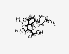 CCc1c(C(=O)O)oc2c(N3CCN(C)CC3)ccc(C)c2c1=O